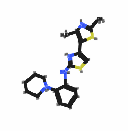 Cc1nc(C)c(-c2csc(Nc3ccccc3N3CCCCC3)n2)s1